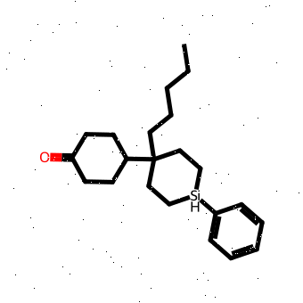 CCCCCC1(C2CCC(=O)CC2)CC[SiH](c2ccccc2)CC1